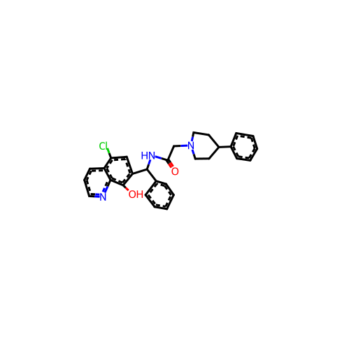 O=C(CN1CCC(c2ccccc2)CC1)NC(c1ccccc1)c1cc(Cl)c2cccnc2c1O